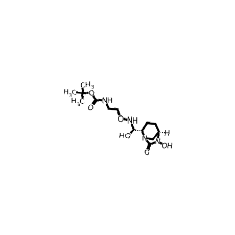 CC(C)(C)OC(=O)NCCONC(O)[C@@H]1CC[C@@H]2CN1C(=O)N2O